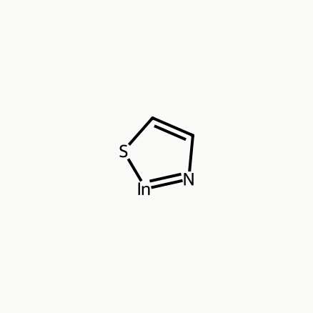 C1=C[S][In]=[N]1